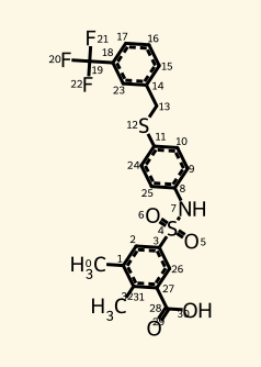 Cc1cc(S(=O)(=O)Nc2ccc(SCc3cccc(C(F)(F)F)c3)cc2)cc(C(=O)O)c1C